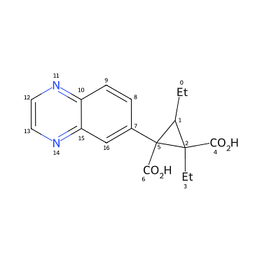 CCC1C(CC)(C(=O)O)C1(C(=O)O)c1ccc2nccnc2c1